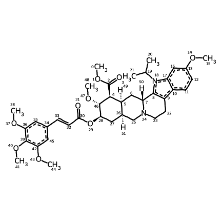 COC(=O)[C@H]1[C@H]2C[C@@H]3c4c(c5ccc(OC)cc5n4C(C)C)CCN3C[C@H]2C[C@@H](OC(=O)/C=C/c2cc(OC)c(OC)c(OC)c2)[C@@H]1OC